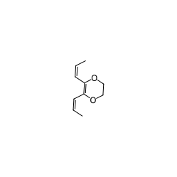 C/C=C\C1=C(/C=C\C)OCCO1